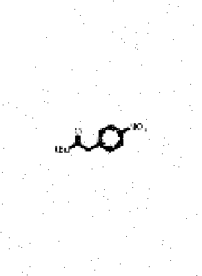 CC(C)(C)C(=O)Cc1ccc([N+](=O)[O-])cc1